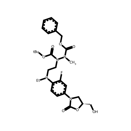 CCN(CCN(C(=O)OC(C)(C)C)N(C)C(=O)OCc1ccccc1)c1ccc(N2C[C@H](CO)OC2=O)cc1F